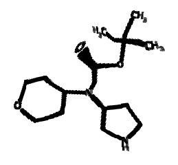 CC(C)(C)OC(=O)N(C1CCOCC1)C1CCNC1